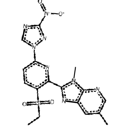 CCS(=O)(=O)c1ccc(-n2cnc([N+](=O)[O-])n2)nc1-c1nc2cc(C)cnc2n1C